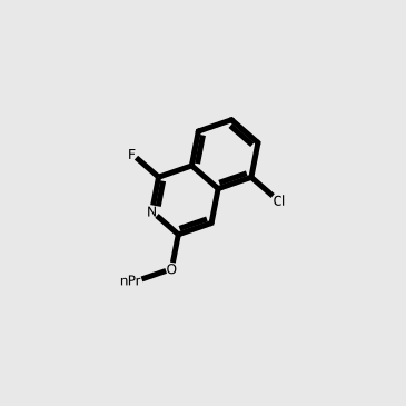 CCCOc1cc2c(Cl)cccc2c(F)n1